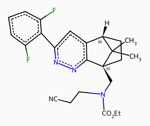 CCOC(=O)N(CCC#N)C[C@@]12CC[C@@H](c3cc(-c4c(F)cccc4F)nnc31)C2(C)C